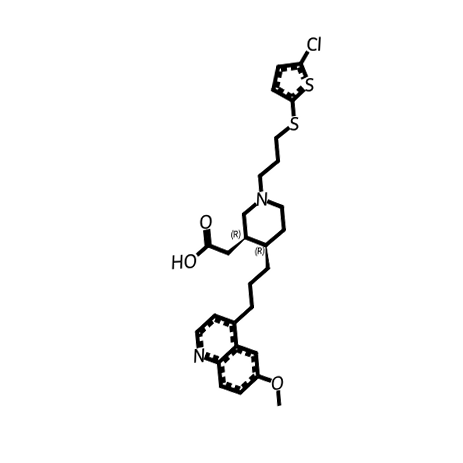 COc1ccc2nccc(CCC[C@@H]3CCN(CCCSc4ccc(Cl)s4)C[C@@H]3CC(=O)O)c2c1